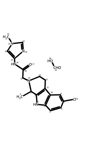 CC1c2[nH]c3ccc(Cl)cc3c2CCN1CC(=O)Nc1cn(C)cn1.O=CO